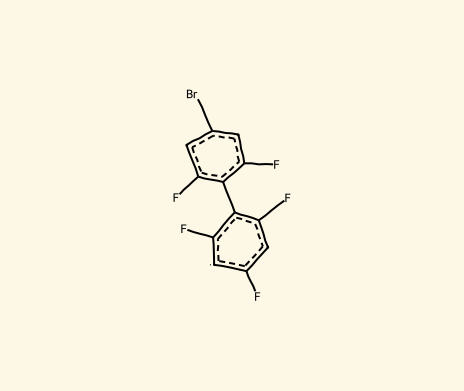 Fc1[c]c(F)c(-c2c(F)cc(Br)cc2F)c(F)c1